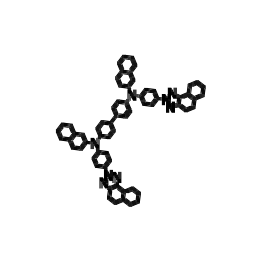 c1c(-c2ccc(N(c3ccc(-n4nc5ccc6ccccc6c5n4)cc3)c3ccc4ccccc4c3)cc2)ccc(N(c2ccc(-n3nc4ccc5ccccc5c4n3)cc2)c2ccc3ccccc3c2)c#1